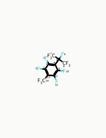 Fc1c(F)c(C(F)(C(F)(F)F)C(F)(F)F)c(F)c(F)c1C(F)(F)F